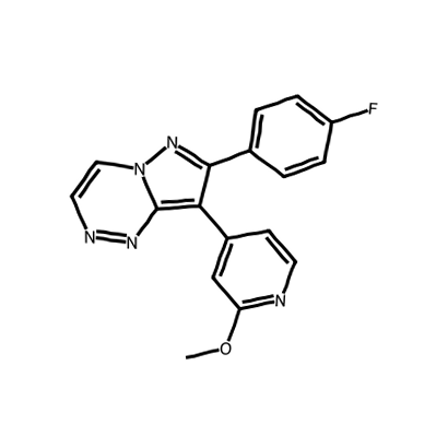 COc1cc(-c2c(-c3ccc(F)cc3)nn3ccnnc23)ccn1